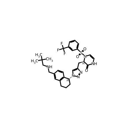 CC(C)(C)CNCc1ccc2c(c1)CCC[C@H]2n1cc(C[C@@H]2C(=O)NC=CN2S(=O)(=O)c2cccc(C(F)(F)F)c2)nn1